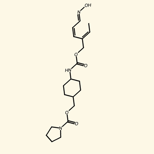 C\C=C(/C=C\C=N\O)COC(=O)NC1CCC(COC(=O)N2CCCC2)CC1